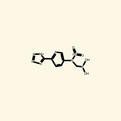 O=[SH](=O)N(CB(O)O)c1ccc(-c2nnn[nH]2)nc1